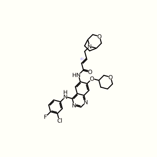 O=C(/C=C/CN1C2CCC1COC2)Nc1cc2c(Nc3ccc(F)c(Cl)c3)ncnc2cc1OC1CCCOC1